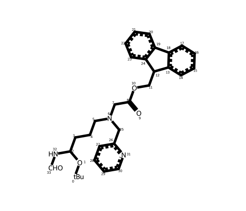 CC(C)(C)OC(CCCN(CC(=O)OCC1c2ccccc2-c2ccccc21)Cc1ccccn1)NC=O